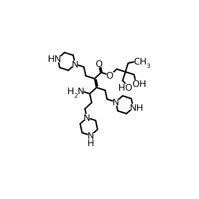 CCC(CO)(CO)COC(=O)/C(CCN1CCNCC1)=C(\CCN1CCNCC1)C(N)CCN1CCNCC1